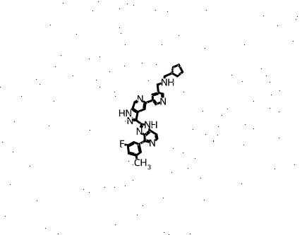 Cc1cc(F)cc(-c2nccc3[nH]c(-c4n[nH]c5cnc(-c6cncc(CNCC7CCCC7)c6)cc45)nc23)c1